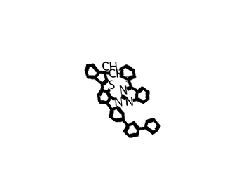 CC1(C)c2ccccc2-c2c1sc1c2ccc2c3ccc(-c4cccc(-c5ccccc5)c4)cc3n(-c3nc(-c4ccccc4)c4ccccc4n3)c21